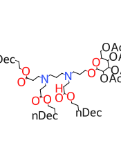 CCCCCCCCCCCCOC(=O)CCN(CCCN(CCCOC1OC(COC(C)=O)C(OC(C)=O)C(OC(C)=O)C1OC(C)=O)CCC(O)OCCCCCCCCCCCC)CCC(=O)OCCCCCCCCCCCC